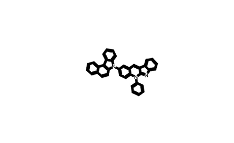 c1ccc(-n2c3nc4ccccc4c-3cc3cc(-n4c5ccccc5c5c6ccccc6ccc54)ccc32)cc1